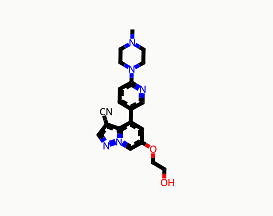 CN1CCN(c2ccc(-c3cc(OCCO)cn4ncc(C#N)c34)cn2)CC1